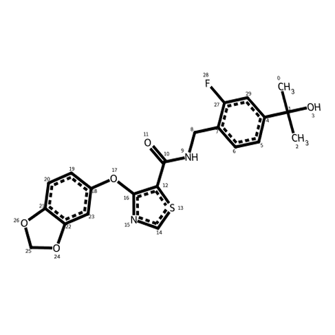 CC(C)(O)c1ccc(CNC(=O)c2scnc2Oc2ccc3c(c2)OCO3)c(F)c1